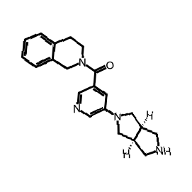 O=C(c1cncc(N2C[C@H]3CNC[C@H]3C2)c1)N1CCc2ccccc2C1